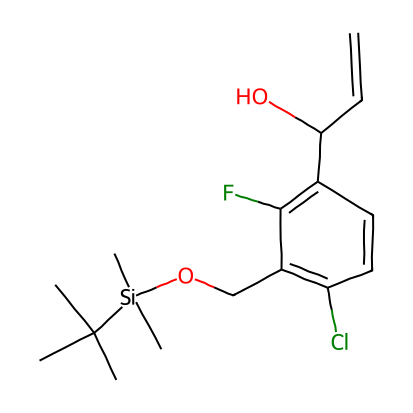 C=CC(O)c1ccc(Cl)c(CO[Si](C)(C)C(C)(C)C)c1F